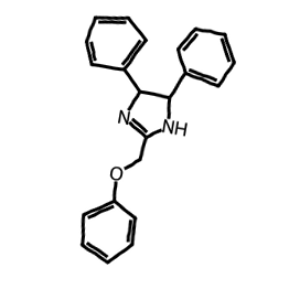 c1ccc(OCC2=NC(c3ccccc3)C(c3ccccc3)N2)cc1